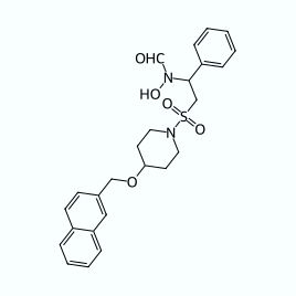 O=CN(O)C(CS(=O)(=O)N1CCC(OCc2ccc3ccccc3c2)CC1)c1ccccc1